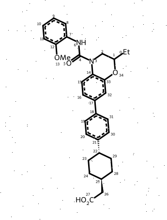 CCC1CN(C(=O)Nc2ccccc2OC)c2ccc(-c3ccc([C@H]4CC[C@H](CC(=O)O)CC4)cc3)cc2O1